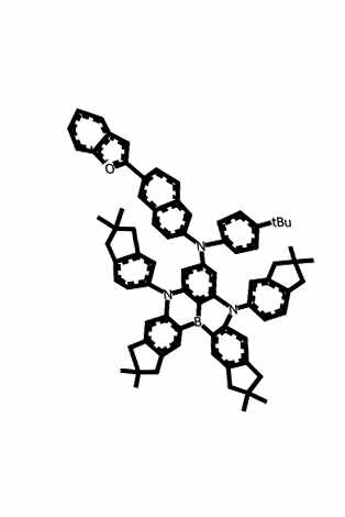 CC1(C)Cc2ccc(N3c4cc5c(cc4B4c6cc7c(cc6N(c6ccc8c(c6)CC(C)(C)C8)c6cc(N(c8ccc(C(C)(C)C)cc8)c8ccc9cc(-c%10cc%11ccccc%11o%10)ccc9c8)cc3c64)CC(C)(C)C7)CC(C)(C)C5)cc2C1